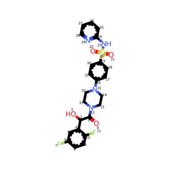 O=C(C(O)c1cc(F)ccc1F)N1CCN(c2ccc(S(=O)(=O)Nc3ccccn3)cc2)CC1